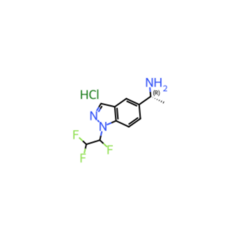 C[C@@H](N)c1ccc2c(cnn2C(F)C(F)F)c1.Cl